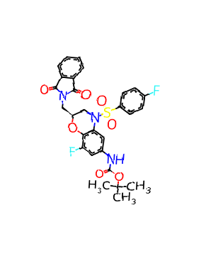 CC(C)(C)OC(=O)Nc1cc(F)c2c(c1)N(S(=O)(=O)c1ccc(F)cc1)C[C@H](CN1C(=O)c3ccccc3C1=O)O2